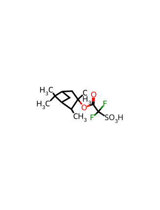 CC1C2CC(CC1(C)OC(=O)C(F)(F)S(=O)(=O)O)C2(C)C